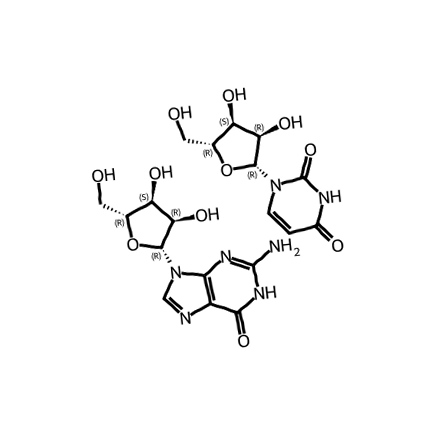 Nc1nc2c(ncn2[C@@H]2O[C@H](CO)[C@@H](O)[C@H]2O)c(=O)[nH]1.O=c1ccn([C@@H]2O[C@H](CO)[C@@H](O)[C@H]2O)c(=O)[nH]1